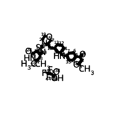 Cc1cc(=O)c2ccc(Nc3cccc(CC4COCCN4c4nc5c(s4)C(=O)NC(C)(C)C5)c3)cc2o1.O=C(O)C(F)(F)F